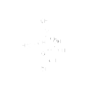 CC(=O)O.CC(O)COC(C)CO.CCOCC